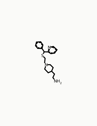 NCCC1CCN(CCSC(c2ccccc2)c2ccccn2)CC1